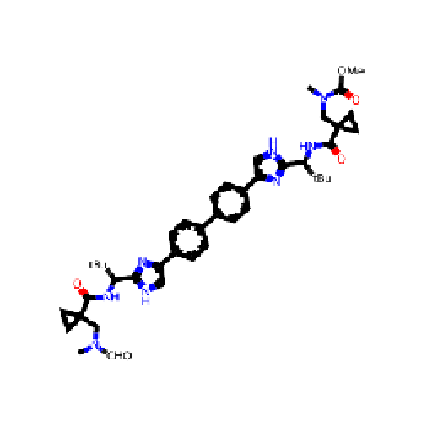 COC(=O)N(C)CC1(C(=O)NC(c2nc(-c3ccc(-c4ccc(-c5c[nH]c(C(NC(=O)C6(CN(C)C=O)CC6)C(C)(C)C)n5)cc4)cc3)c[nH]2)C(C)(C)C)CC1